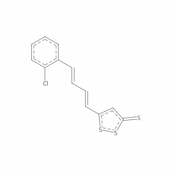 S=c1cc(/C=C/C=C/c2ccccc2Cl)ss1